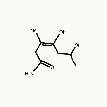 CC(O)CC(O)=C(C#N)CC(N)=O